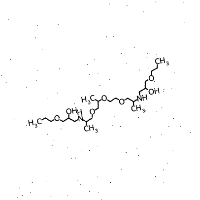 CCCOCC(O)CNC(C)COCCOC(C)COCC(C)NCC(O)COCCC